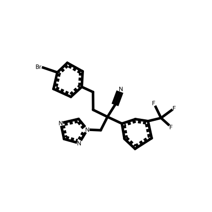 N#CC(CCc1ccc(Br)cc1)(Cn1cncn1)c1cccc(C(F)(F)F)c1